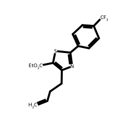 C=CCCc1nc(-c2ccc(C(F)(F)F)cc2)sc1C(=O)OCC